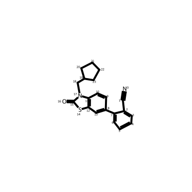 N#Cc1ccccc1-c1ccc2c(c1)sc(=O)n2CC1CCCC1